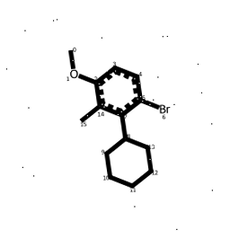 COc1ccc(Br)c(C2CCCCC2)c1C